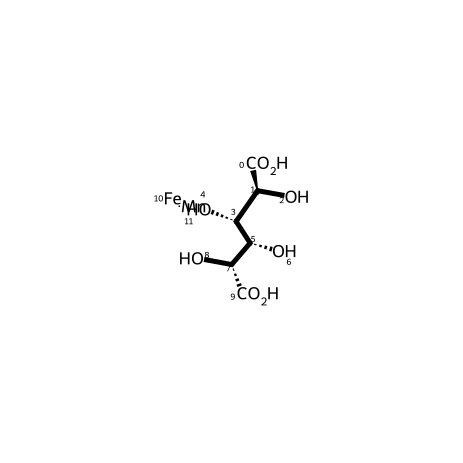 O=C(O)[C@@H](O)[C@@H](O)[C@H](O)[C@@H](O)C(=O)O.[Fe].[Mn]